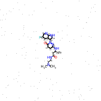 CC(C)[C@@H](CC(=O)NCCN(C)C)Nc1ccc(=O)n(-c2c[nH]c3ncc(F)cc23)n1